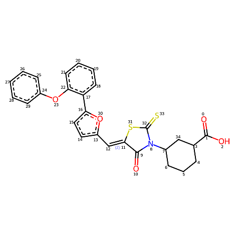 O=C(O)C1CCCC(N2C(=O)/C(=C/c3ccc(-c4ccccc4Oc4ccccc4)o3)SC2=S)C1